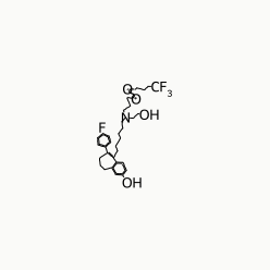 O=S(=O)(CCCN(CCO)CCCCCCC1=C(c2ccc(F)cc2)CCCc2cc(O)ccc21)CCCC(F)(F)F